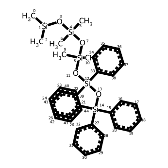 C[Si](C)O[Si](C)(C)O[Si](C)(C)O[Si](O[Si](c1ccccc1)(c1ccccc1)c1ccccc1)(c1ccccc1)c1ccccc1